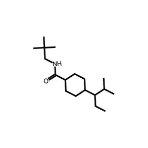 CCC(C(C)C)C1CCC(C(=O)NCC(C)(C)C)CC1